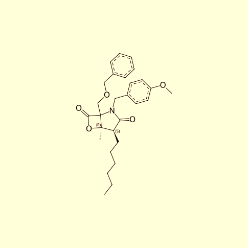 CCCCCC[C@@H]1C(=O)N(Cc2ccc(OC)cc2)C2(COCc3ccccc3)C(=O)O[C@]12C